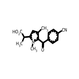 Cc1cc(C(C)C(=O)O)n(C)c1C(=O)c1ccc(C#N)cc1